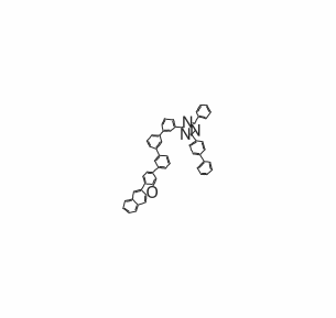 c1ccc(-c2ccc(-c3nc(-c4ccccc4)nc(-c4cccc(-c5cccc(-c6cccc(-c7ccc8c(c7)oc7cc9ccccc9cc78)c6)c5)c4)n3)cc2)cc1